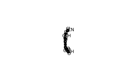 CC1(C)[C@H](NC(=O)c2ccc(N3CCN(C4CN(c5ccc6c(c5)C(=O)N(C5CCC(=O)NC5=O)C6=O)C4)CC3)nn2)C(C)(C)[C@H]1Oc1ccc(C#N)c(Cl)c1